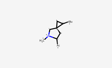 CC(=O)C1C[C@]2(CC2C(C)(C)C)CN1C